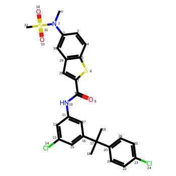 CN(c1ccc2sc(C(=O)Nc3cc(Cl)cc(C(C)(C)c4ccc(Cl)cc4)c3)cc2c1)S(C)(=O)=O